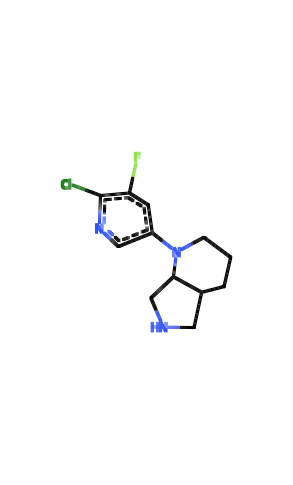 Fc1cc(N2CCCC3CNCC32)cnc1Cl